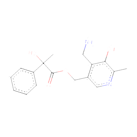 Cc1ncc(COC(=O)C(C)(O)c2ccccc2)c(CN)c1O